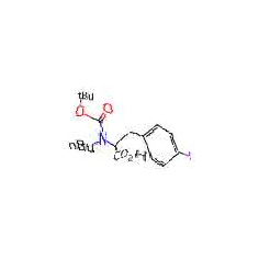 CCCCN(C(=O)OC(C)(C)C)[C@@H](Cc1ccc(I)cc1)C(=O)O